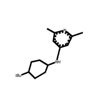 Cc1cc(NC2CCC(C(C)(C)C)CC2)cc(C)n1